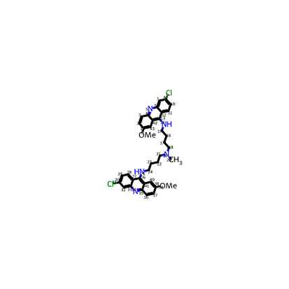 COc1ccc2nc3cc(Cl)ccc3c(NCCCCN(C)CCCCNc3c4ccc(Cl)cc4nc4ccc(OC)cc34)c2c1